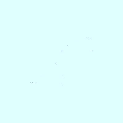 CNC(=O)c1cnn2ccc(N[C@H](C)c3cc(F)cnc3OC)nc12